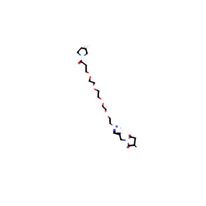 CCC1CC(=O)N(Cc2cn(CCOCCOCCOCCOCCC(=O)N3CC[C@@H](C)C3)nn2)C1=O